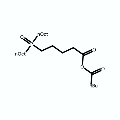 CCCCCCCCP(=O)(CCCCCCCC)CCCCC(=O)OC(=O)CCCC